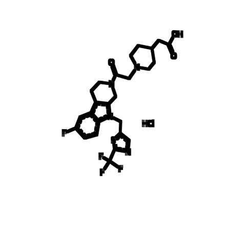 Cl.O=C(O)CC1CCN(CC(=O)N2CCc3c(n(Cc4cnc(C(F)(F)F)s4)c4ccc(F)cc34)C2)CC1